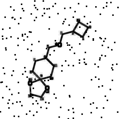 C1CC(COCC2CCC3(CC2)OCCO3)C1